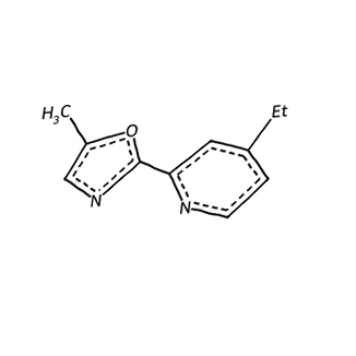 CCc1ccnc(-c2ncc(C)o2)c1